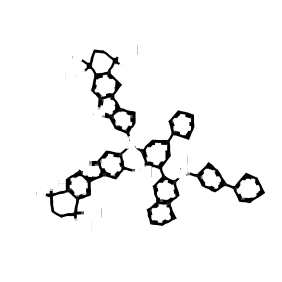 CC1(C)CCC(C)(C)c2cc3c(cc21)oc1cc(N2c4cc5oc6cc7c(cc6c5cc4Bc4c(-c5cc6ccccc6cc5Nc5ccc(-c6ccccc6)cc5)cc(-c5ccccc5)cc42)C(C)(C)CCC7(C)C)ccc13